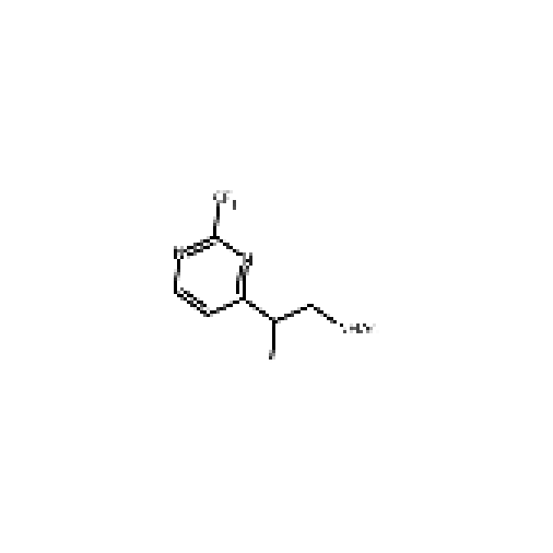 CC(=O)NCC(C)c1ccnc(C(F)(F)F)n1